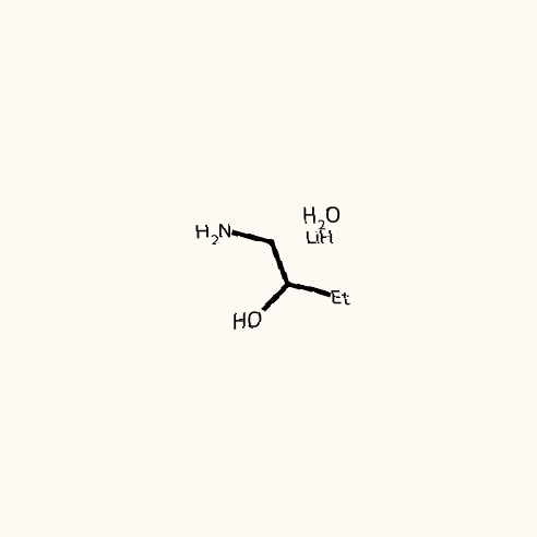 CCC(O)CN.O.[LiH]